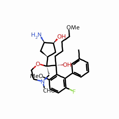 COCCCC[C@@](O)(c1c(OC)ccc(F)c1-c1cccc(C)c1)[C@@]1([C@H]2C[C@@H](N)[C@@H](O)C2)CN(C=O)CCO1